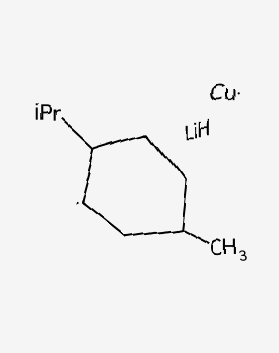 CC1C[CH]C(C(C)C)CC1.[Cu].[LiH]